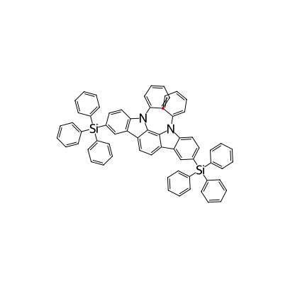 c1ccc(-n2c3ccc([Si](c4ccccc4)(c4ccccc4)c4ccccc4)cc3c3ccc4c5cc([Si](c6ccccc6)(c6ccccc6)c6ccccc6)ccc5n(-c5ccccc5)c4c32)cc1